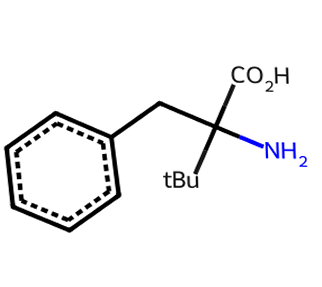 CC(C)(C)C(N)(Cc1ccccc1)C(=O)O